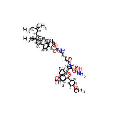 COc1ccc(C(OC(c2ccccc2)C2CN(C(=O)CCCCCNC(=O)OC3CCC4(C)C(=CCC5C4CCC4(C)C(C(C)CCCC(C)C)CCC54)C3)CC2OP(N)O)c2ccc(OC)cc2)cc1